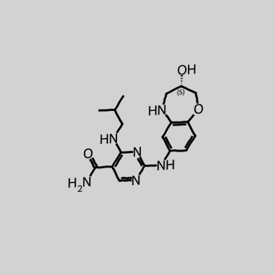 CC(C)CNc1nc(Nc2ccc3c(c2)NC[C@H](O)CO3)ncc1C(N)=O